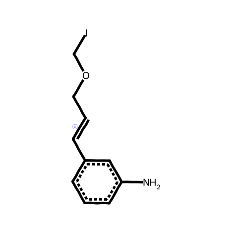 Nc1cccc(/C=C/COCI)c1